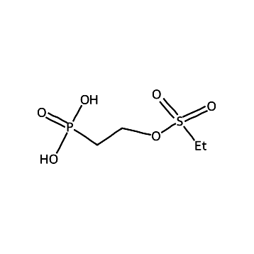 [CH2]CS(=O)(=O)OCCP(=O)(O)O